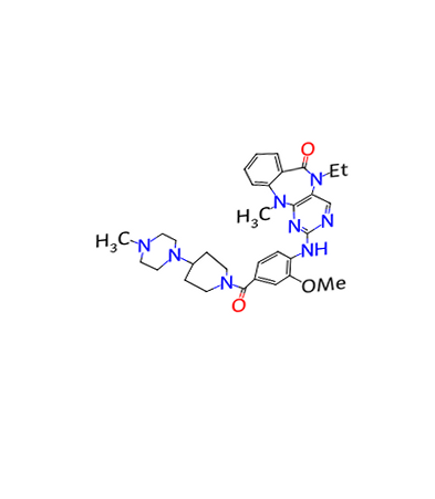 CCN1C(=O)c2ccccc2N(C)c2nc(Nc3ccc(C(=O)N4CCC(N5CCN(C)CC5)CC4)cc3OC)ncc21